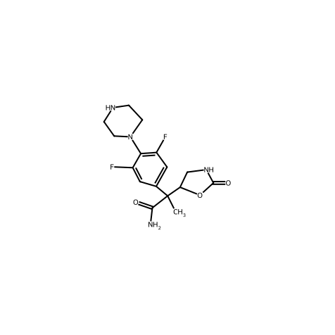 CC(C(N)=O)(c1cc(F)c(N2CCNCC2)c(F)c1)C1CNC(=O)O1